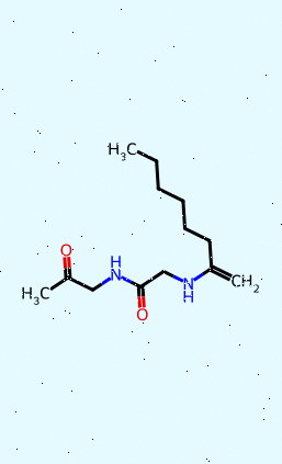 C=C(CCCCCC)NCC(=O)NCC(C)=O